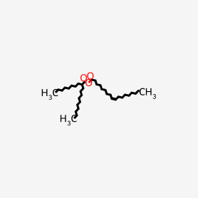 CCCCCCCC/C=C\CCCCCCCC(=O)OC(=O)C(CCCCCCCC)CCCCCCCCCC